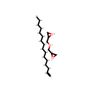 C(OCC1CO1)C1CO1.C=CCCCCCCCCCCCCCC